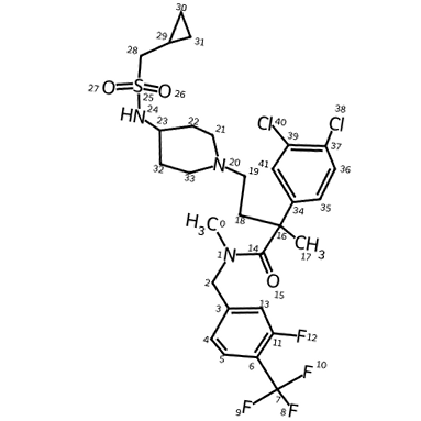 CN(Cc1ccc(C(F)(F)F)c(F)c1)C(=O)C(C)(CCN1CCC(NS(=O)(=O)CC2CC2)CC1)c1ccc(Cl)c(Cl)c1